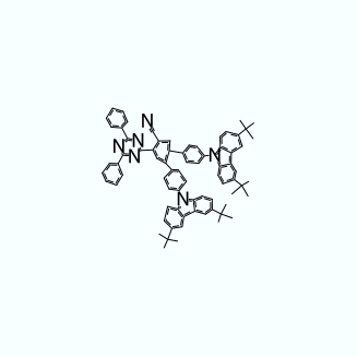 CC(C)(C)c1ccc2c(c1)c1cc(C(C)(C)C)ccc1n2-c1ccc(-c2cc(C#N)c(-c3nc(-c4ccccc4)nc(-c4ccccc4)n3)cc2-c2ccc(-n3c4ccc(C(C)(C)C)cc4c4cc(C(C)(C)C)ccc43)cc2)cc1